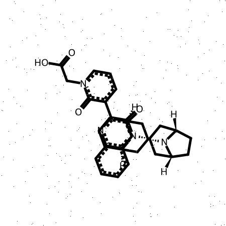 O=C(O)Cn1cccc(-c2nc3ccccc3n([C@H]3C[C@H]4CC[C@@H](C3)N4[C@H]3C[C@@H]4CCC[C@@H](C4)C3)c2=O)c1=O